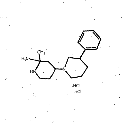 CC1(C)CC(N2CCCC(c3ccccc3)C2)CCN1.Cl.Cl